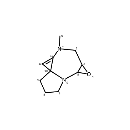 CN1CC2OC2N2CCCC23C=C13